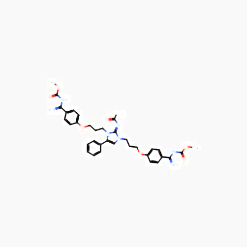 CC(C)(C)OC(=O)NC(=N)c1ccc(OCCCn2cc(-c3ccccc3)n(CCCOc3ccc(C(=N)NC(=O)OC(C)(C)C)cc3)/c2=N\C(=O)C(F)(F)F)cc1